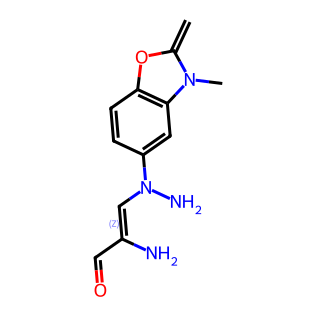 C=C1Oc2ccc(N(N)/C=C(\N)C=O)cc2N1C